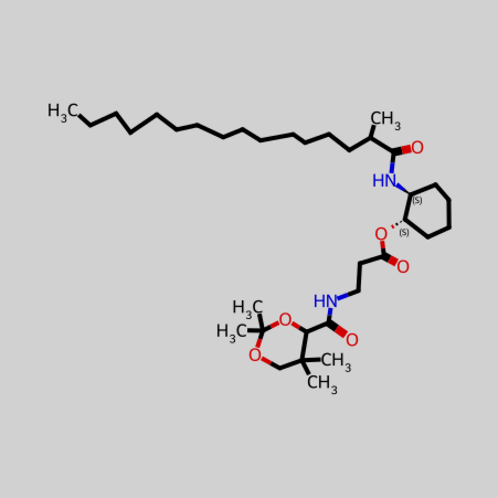 CCCCCCCCCCCCCCC(C)C(=O)N[C@H]1CCCC[C@@H]1OC(=O)CCNC(=O)C1OC(C)(C)OCC1(C)C